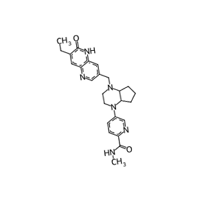 CCc1cc2ncc(CN3CCN(c4ccc(C(=O)NC)nc4)C4CCCC43)cc2[nH]c1=O